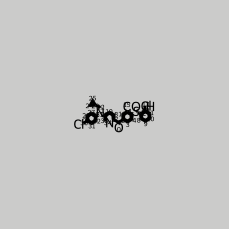 O=C(c1ccc(Sc2ccccc2Cl)c(C(=O)O)c1)c1ccc(N(CC2CC2)c2ccc(Cl)cc2)cn1